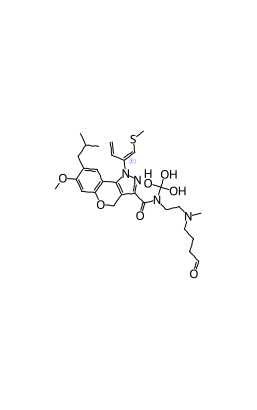 C=C/C(=C\SC)n1nc(C(=O)N(CCN(C)CCCC=O)C(O)(O)O)c2c1-c1cc(CC(C)C)c(OC)cc1OC2